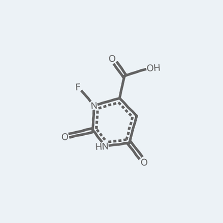 O=C(O)c1cc(=O)[nH]c(=O)n1F